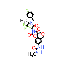 CNC(=O)Nc1ccc2c(c1)COC[C@]21OC(=O)N(CC(=O)N(Cc2ccc(F)cc2)C(C)C(F)(F)F)C1=O